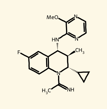 COc1nccnc1N[C@H]1c2cc(F)ccc2N(C(C)=N)[C@@H](C2CC2)[C@@H]1C